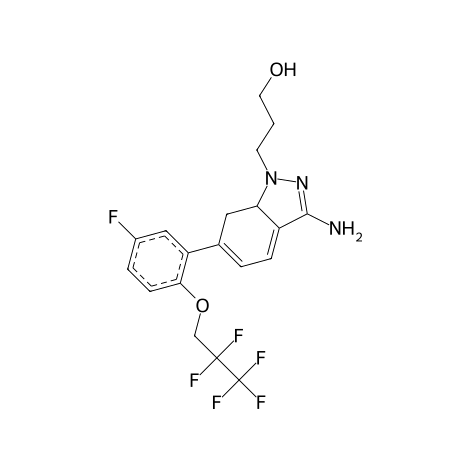 NC1=NN(CCCO)C2CC(c3cc(F)ccc3OCC(F)(F)C(F)(F)F)=CC=C12